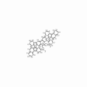 CC1(C)c2cc([Si](c3ccccc3)(c3ccccc3)c3ccc4ccccc4c3)ccc2-c2ccc([Si](c3ccccc3)(c3ccccc3)c3ccc4ccccc4c3)cc21